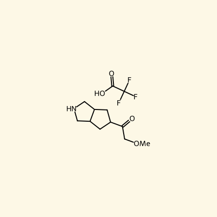 COCC(=O)C1CC2CNCC2C1.O=C(O)C(F)(F)F